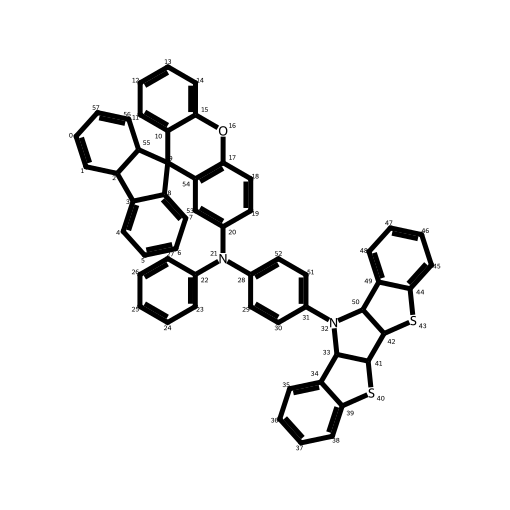 C1=CC2c3ccccc3C3(c4ccccc4Oc4ccc(N(c5ccccc5)c5ccc(N6C7c8ccccc8SC7C7Sc8ccccc8C76)cc5)cc43)C2C=C1